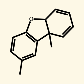 Cc1ccc2c(c1)C1(C)C=CC=CC1O2